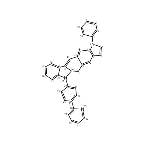 c1ccc(-n2ccc3cc4cc5c(cc4cc32)c2ccccc2n5-c2ccc(-c3ccccn3)cc2)cc1